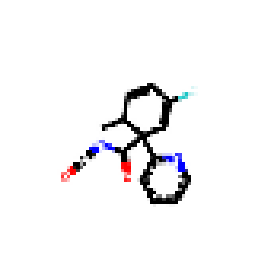 CC1C=CC(F)=CC1(C(=O)N=C=O)c1ccccn1